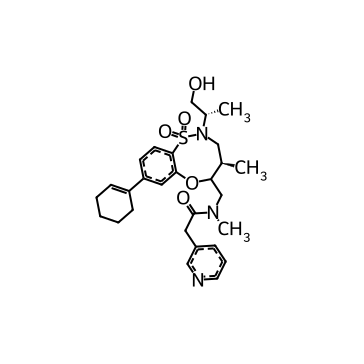 C[C@@H]1CN([C@@H](C)CO)S(=O)(=O)c2ccc(C3=CCCCC3)cc2OC1CN(C)C(=O)Cc1cccnc1